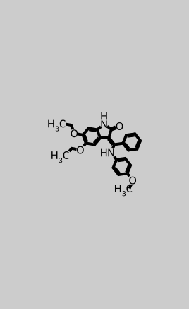 CCOc1cc2c(cc1OCC)C(=C(Nc1ccc(OC)cc1)c1ccccc1)C(=O)N2